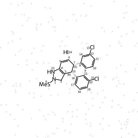 CSN1CC2=C(C=C[C@H](c3cccc(Cl)c3)[C@@H]2c2cccc(Cl)c2)N1.I